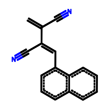 C=C(C#N)C(C#N)=Cc1cccc2ccccc12